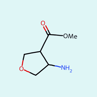 COC(=O)C1COCC1N